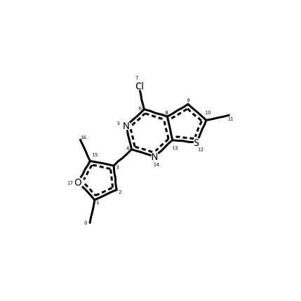 Cc1cc(-c2nc(Cl)c3cc(C)sc3n2)c(C)o1